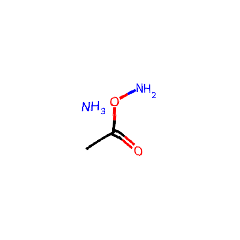 CC(=O)ON.N